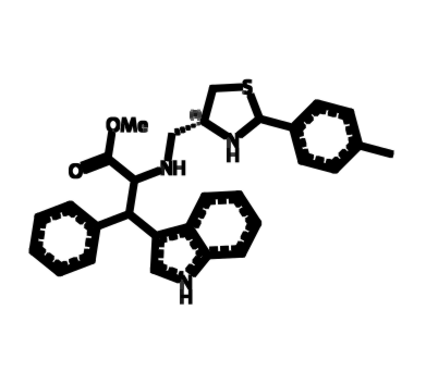 COC(=O)C(NC[C@@H]1CSC(c2ccc(C)cc2)N1)C(c1ccccc1)c1c[nH]c2ccccc12